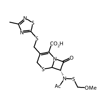 COCSN(C(C)=O)[C@H]1C(=O)N2C(C(=O)O)=C(CSc3nc(C)ns3)CSC12